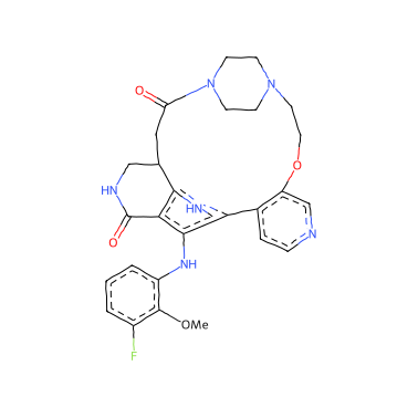 COc1c(F)cccc1Nc1c2[nH]c3c1C(=O)NCC3CC(=O)N1CCN(CCOc3cnccc3-2)CC1